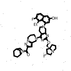 CCc1c(F)ccc2cc(O)cc(N3CCc4c(nc(OC[C@@]56CCCN5C[C@H](F)C6)nc4N4CCCn5nc(C(=O)N6CC7CCCC6C7)cc5C4)C3)c12